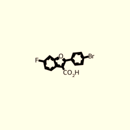 O=C(O)c1c(-c2ccc(Br)cc2)oc2cc(F)ccc12